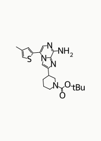 Cc1csc(-c2cnc(N)c3nc(C4CCCN(C(=O)OC(C)(C)C)C4)cn23)c1